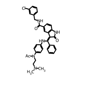 CC(=O)N(CCN(C)C)c1ccc(NC(=C2C(=O)Nc3ccc(C(=O)NCc4cccc(Cl)c4)cc32)c2ccccc2)cc1